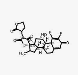 CCC(=O)O[C@]1(C(=O)SC2CCOC2=O)C(C)C[C@H]2[C@@H]3CCC4=CC(=O)C(F)=C(F)[C@]4(C)[C@H]3[C@@H](O)C[C@@]21C